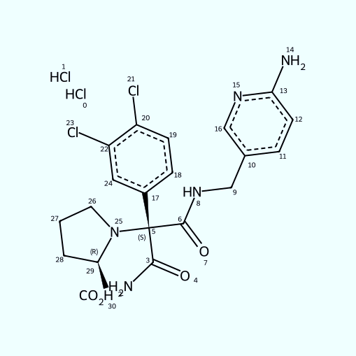 Cl.Cl.NC(=O)[C@](C(=O)NCc1ccc(N)nc1)(c1ccc(Cl)c(Cl)c1)N1CCC[C@@H]1C(=O)O